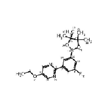 CCOc1cnc(-c2cc(F)cc(B3OC(C)(C)C(C)(C)O3)c2)nc1